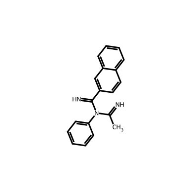 CC(=N)N(C(=N)c1ccc2ccccc2c1)c1ccccc1